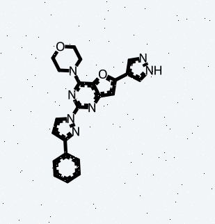 c1ccc(-c2ccn(-c3nc(N4CCOCC4)c4oc(-c5cn[nH]c5)cc4n3)n2)cc1